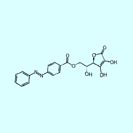 O=C1O[C@H]([C@H](O)COC(=O)c2ccc(N=Nc3ccccc3)cc2)C(O)=C1O